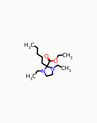 CCCCCC1(C(=O)OCC)N(CC)CCN1CC